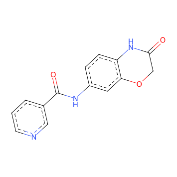 O=C1COc2cc(NC(=O)c3cccnc3)ccc2N1